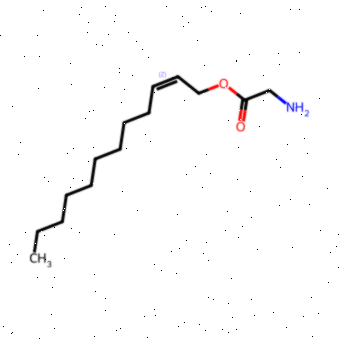 CCCCCCCCC/C=C\COC(=O)CN